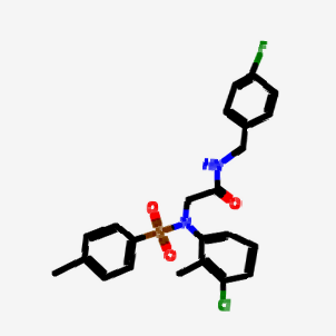 Cc1ccc(S(=O)(=O)N(CC(=O)NCc2ccc(F)cc2)c2cccc(Cl)c2C)cc1